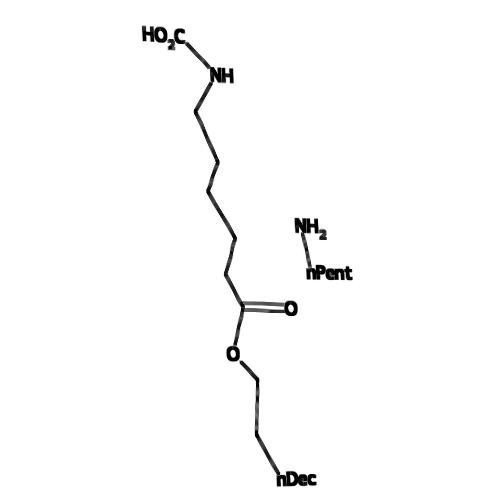 CCCCCCCCCCCCOC(=O)CCCCCNC(=O)O.CCCCCN